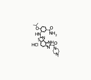 CC(C)Oc1ccc(C(N)=O)cc1Nc1nc2c(ccc3nc(C(=O)N4CCN(C)CC4)[nH]c32)s1.Cl